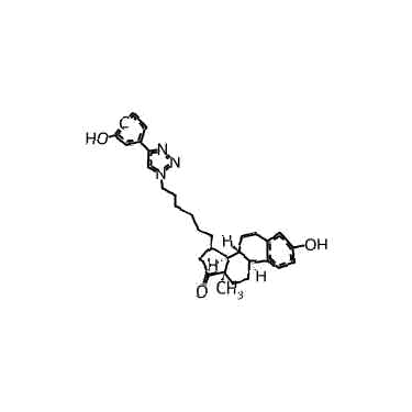 C[C@]12CC[C@@H]3c4ccc(O)cc4CC[C@H]3[C@@H]1[C@H](CCCCCCn1cc(-c3cccc(O)c3)nn1)CC2=O